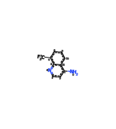 Nc1ccnc2c(C(F)(F)F)cccc12